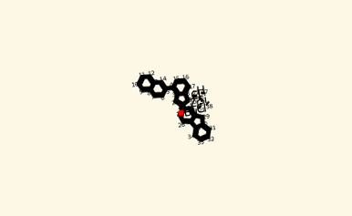 CCCCC1=Cc2c(-c3ccc4ccccc4c3)cccc2[CH]1[Zr]([Cl])([Cl])([c]1cccc2c1Cc1ccccc1-2)[SiH](C)C